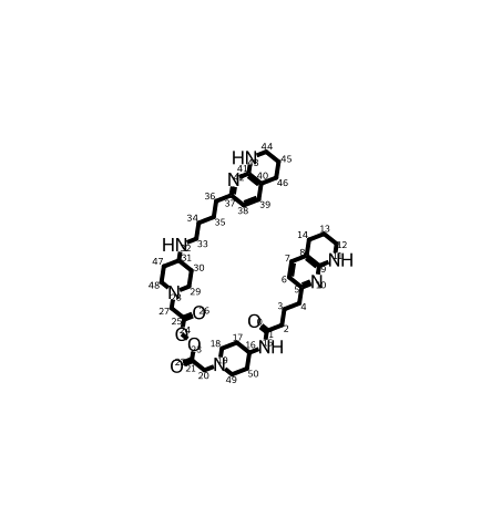 O=C(CCCc1ccc2c(n1)NCCC2)NC1CCN(CC(=O)OOC(=O)CN2CCC(NCCCCc3ccc4c(n3)NCCC4)CC2)CC1